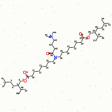 CC(C)CCC(COC(=O)CCCCCCCN(CCCCCCCC(=O)OCC(CCC(C)C)C(C)C)C(=O)CCCN(C)C)C(C)C